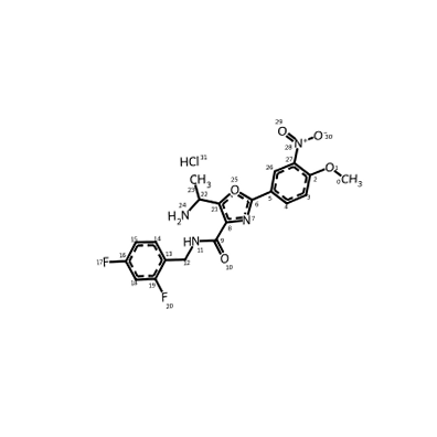 COc1ccc(-c2nc(C(=O)NCc3ccc(F)cc3F)c(C(C)N)o2)cc1[N+](=O)[O-].Cl